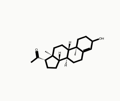 CC(=O)[C@H]1CC[C@H]2[C@@H]3CCC4=CC(O)CC[C@]4(C)[C@H]3CC[C@]12C